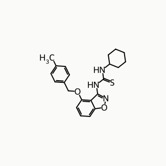 Cc1ccc(COc2cccc3onc(NC(=S)NC4CCCCC4)c23)cc1